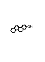 OC1=CC=C2C3=CC=C4CCCCC4C3CCN2C1